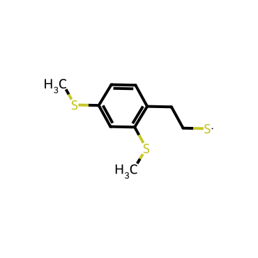 CSc1ccc(CC[S])c(SC)c1